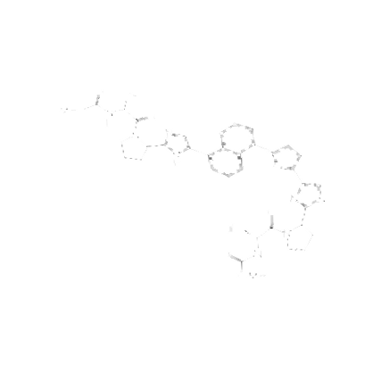 COC(=O)NC(C(=O)N1CCCC1c1ncc(-c2cccc3c(-c4ccc(-c5cnc(C6CCCN6C(=O)[C@@H](NC(=O)OC)C(C)C)[nH]5)s4)cccc23)[nH]1)C(C)C